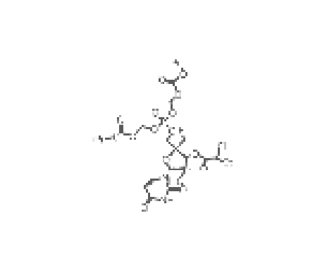 CCC(Cl)C(=O)O[C@@H]1[C@@](CF)(COP(=O)(OCOC(=O)OC(C)C)OCOC(=O)OC(C)C)O[C@@H](n2ccc(=O)[nH]c2=O)[C@]1(C)O